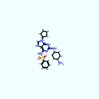 N[C@H]1CC[C@H](Nc2nc(NS(=O)(=O)c3ccccc3)c3ncn(C4CCCC4)c3n2)CC1